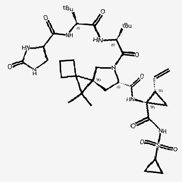 C=C[C@@H]1C[C@]1(NC(=O)[C@@H]1C[C@@]2(CN1C(=O)[C@@H](NC(=O)[C@@H](NC(=O)C1CNC(=O)N1)C(C)(C)C)C(C)(C)C)C(C)(C)C21CCC1)C(=O)NS(=O)(=O)C1CC1